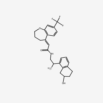 CC(CNC(=O)/C=C1\CCCOc2cc(C(F)(F)F)ccc21)c1cccc2c1CC(O)CC2